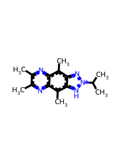 Cc1nc2c(C)c3n[n+](C(C)C)[nH]c3c(C)c2nc1C